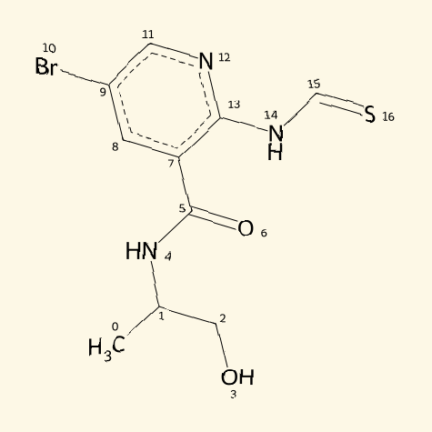 CC(CO)NC(=O)c1cc(Br)cnc1NC=S